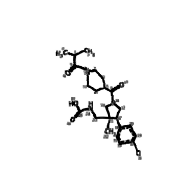 CC(C)C(=O)N1CCC(C(=O)N2C[C@@H](c3ccc(Cl)cc3)[C@](C)(CNC(=O)O)C2)CC1